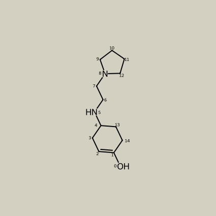 OC1=CCC(NCCN2CCCC2)CC1